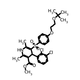 COC(=O)C1=C(C)NC(C)=C(S(=O)(=O)c2ccc(OCCOC(C)(C)C)cc2)C1c1cccc(Cl)c1Cl